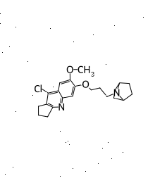 COc1cc2c(Cl)c3c(nc2cc1OCCCN1C2CCC1CC2)CCC3